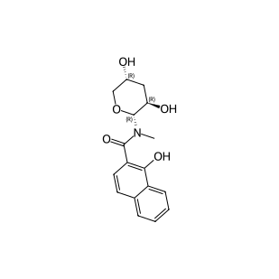 CN(C(=O)c1ccc2ccccc2c1O)[C@@H]1OC[C@H](O)C[C@H]1O